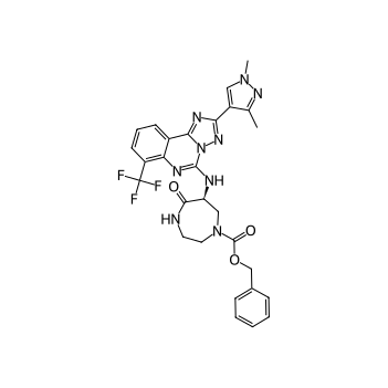 Cc1nn(C)cc1-c1nc2c3cccc(C(F)(F)F)c3nc(N[C@H]3CN(C(=O)OCc4ccccc4)CCNC3=O)n2n1